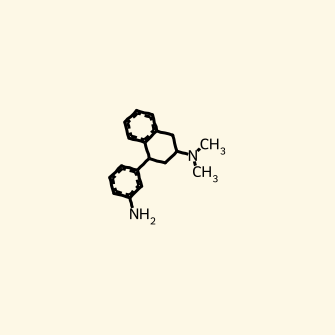 CN(C)C1Cc2ccccc2C(c2cccc(N)c2)C1